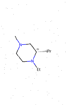 CCN1CCN(C)C[C@@H]1C(C)C